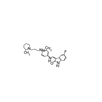 Cc1cc(N/C=C2\C(=O)Nc3ccc(F)cc32)ccc1NCCCN1CCCCC1C